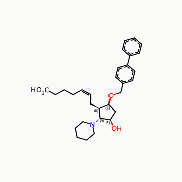 O=C(O)CCC/C=C\C[C@@H]1[C@@H](N2CCCCC2)[C@H](O)C[C@@H]1OCc1ccc(-c2ccccc2)cc1